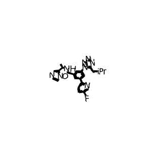 CC(C)Cc1nnnn1-c1cc(C(=O)NC(C)c2cnccn2)cc(-c2ccc(F)cn2)c1